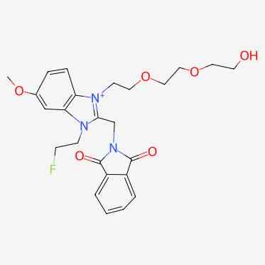 COc1ccc2c(c1)n(CCF)c(CN1C(=O)c3ccccc3C1=O)[n+]2CCOCCOCCO